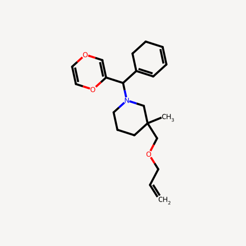 C=CCOCC1(C)CCCN(C(C2=CC=CCC2)C2=COC=CO2)C1